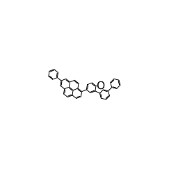 c1ccc(-c2cc3ccc4ccc(-c5ccc6oc7c(-c8ccccc8)cccc7c6c5)c5ccc(c2)c3c45)cc1